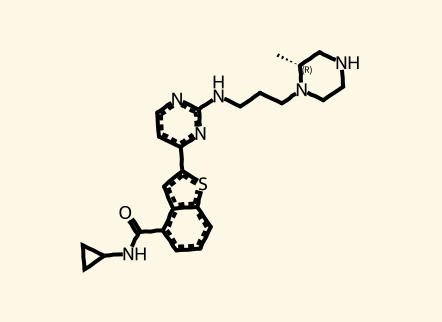 C[C@@H]1CNCCN1CCCNc1nccc(-c2cc3c(C(=O)NC4CC4)cccc3s2)n1